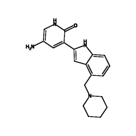 Nc1c[nH]c(=O)c(-c2cc3c(CN4CCCCC4)cccc3[nH]2)c1